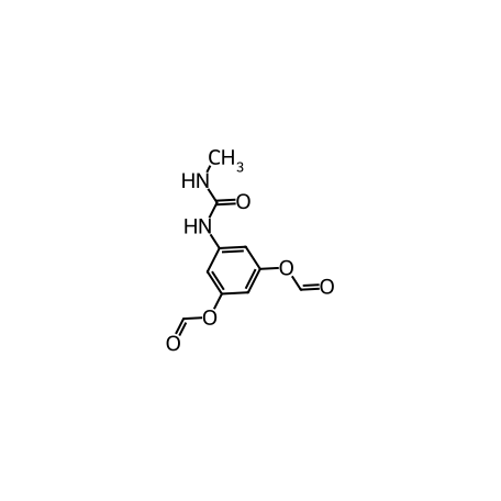 CNC(=O)Nc1cc(OC=O)cc(OC=O)c1